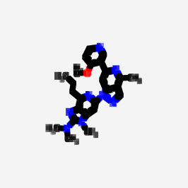 CCCc1nc(-n2ncc3c(C)nc(-c4cnccc4OC)cc32)cc2c1nc(N(C)C)n2C